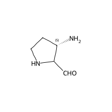 N[C@H]1CCNC1C=O